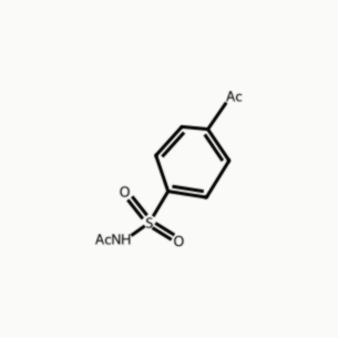 CC(=O)NS(=O)(=O)c1ccc(C(C)=O)cc1